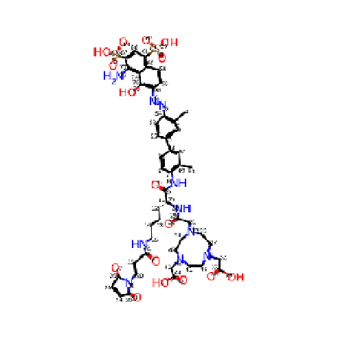 Cc1cc(-c2ccc(NC(=O)[C@@H](CCCCNC(=O)CCN3C(=O)C=CC3=O)NC(=O)CN3CCN(CC(=O)O)CCN(CC(=O)O)CC3)c(C)c2)ccc1/N=N/c1ccc2c(S(=O)(=O)O)cc(S(=O)(=O)O)c(N)c2c1O